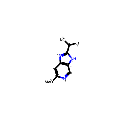 CCC(C#N)c1nc2cc(OC)ncc2[nH]1